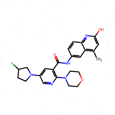 Cc1cc(O)nc2ccc(NC(=O)c3cc(N4CCC(F)C4)cnc3N3CCOCC3)cc12